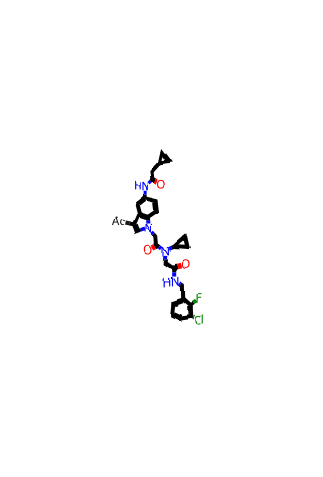 CC(=O)c1cn(CC(=O)N(CC(=O)NCc2cccc(Cl)c2F)C2CC2)c2ccc(NC(=O)CC3CC3)cc12